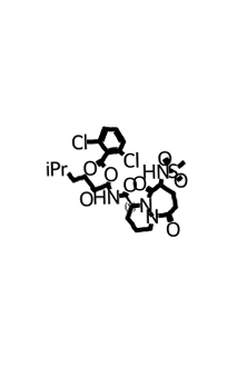 CC(C)CCC(=O)C(NC(=O)[C@@H]1CCCN2C(=O)CCC(NS(C)(=O)=O)C(=O)N12)OC(=O)c1c(Cl)cccc1Cl